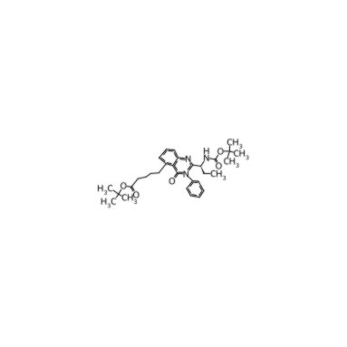 CC[C@H](NC(=O)OC(C)(C)C)c1nc2cccc(CCCCC(=O)OC(C)(C)C)c2c(=O)n1-c1ccccc1